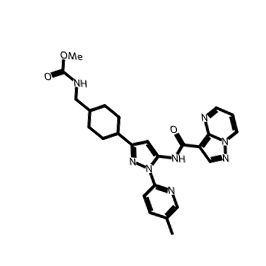 COC(=O)NCC1CCC(c2cc(NC(=O)c3cnn4cccnc34)n(-c3ccc(C)cn3)n2)CC1